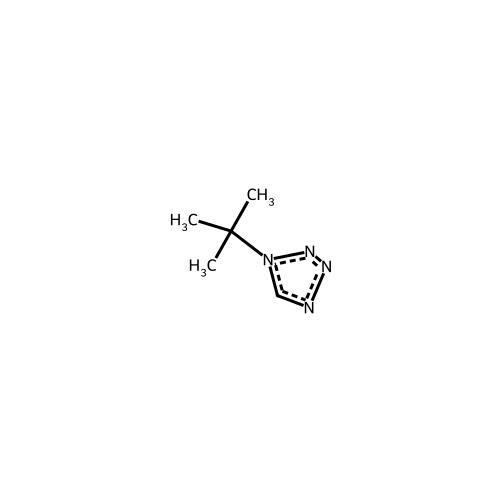 CC(C)(C)n1cnnn1